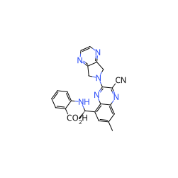 Cc1cc([C@@H](C)Nc2ccccc2C(=O)O)c2nc(N3Cc4nccnc4C3)c(C#N)nc2c1